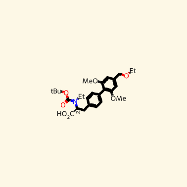 CCOCc1cc(OC)c(-c2ccc(C[C@@H](C(=O)O)N(CC)C(=O)OC(C)(C)C)cc2)c(OC)c1